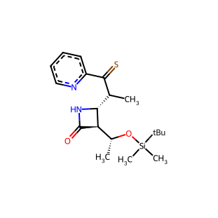 CC(C(=S)c1ccccn1)[C@H]1NC(=O)[C@@H]1[C@@H](C)O[Si](C)(C)C(C)(C)C